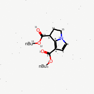 CCCCOC(=O)c1ccn2c1C(C(=O)OCCCC)CC2